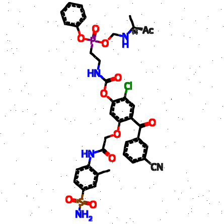 CC(=O)[C@H](C)NCOP(=O)(CCNC(=O)Oc1cc(OCC(=O)Nc2ccc(S(N)(=O)=O)cc2C)c(C(=O)c2cccc(C#N)c2)cc1Cl)Oc1ccccc1